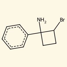 NC1(c2ccccc2)CCC1Br